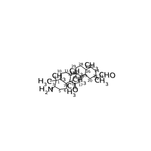 CC1(C)C(N)CC[C@@]2(C)C1CC[C@]1(C)C2C(=O)C=C2C3C[C@@](C)(C=O)CC[C@]3(C)CC[C@]21C